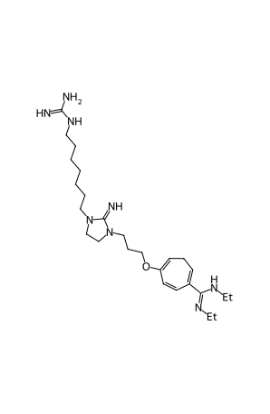 CC/N=C(\NCC)C1=CCC=C(OCCCN2CCN(CCCCCCCNC(=N)N)C2=N)C=C1